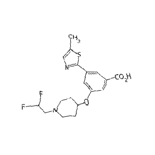 Cc1cnc(-c2cc(OC3CCN(CC(F)F)CC3)cc(C(=O)O)c2)s1